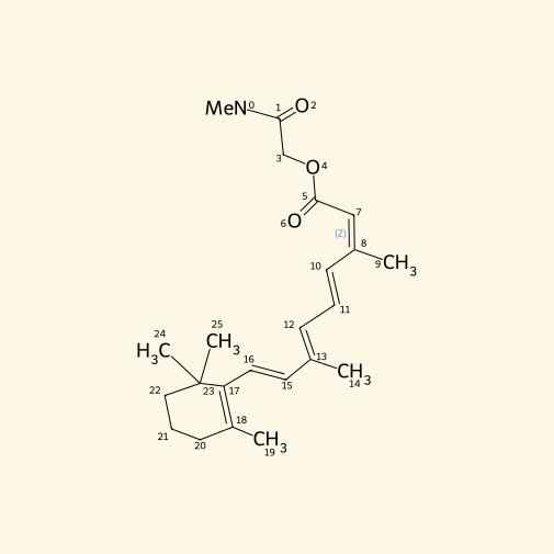 CNC(=O)COC(=O)/C=C(/C)C=CC=C(C)C=CC1=C(C)CCCC1(C)C